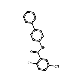 N#Cc1ccc(Cl)c(C(=O)Nc2ccc(-c3ccccc3)cc2)c1